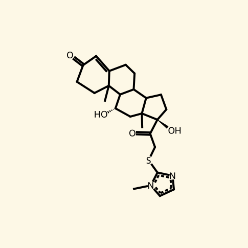 Cn1ccnc1SCC(=O)[C@@]1(O)CCC2C3CCC4=CC(=O)CCC4(C)C3[C@@H](O)CC21C